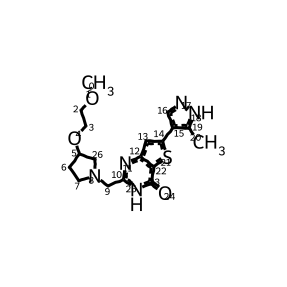 COCCOC1CCN(Cc2nc3cc(-c4cn[nH]c4C)sc3c(=O)[nH]2)C1